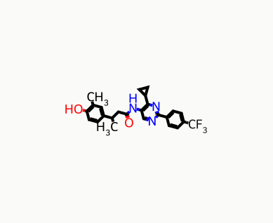 Cc1cc(C(C)CC(=O)Nc2cnc(-c3ccc(C(F)(F)F)cc3)nc2C2CC2)ccc1O